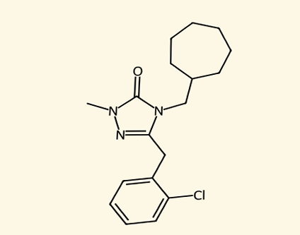 Cn1nc(Cc2ccccc2Cl)n(CC2CCCCCC2)c1=O